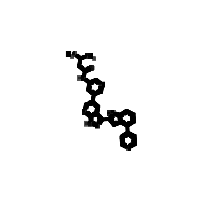 CC(C)CC(=O)Nc1cncc(-c2cnc3[nH]nc(-c4cc5c(-c6ccncc6)cccc5[nH]4)c3c2)c1